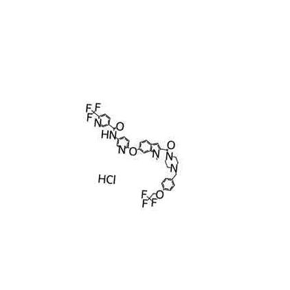 Cl.Cn1c(C(=O)N2CCN(Cc3ccc(OCC(F)(F)F)cc3)CC2)cc2ccc(Oc3ccc(NC(=O)c4ccc(C(F)(F)F)nc4)cn3)cc21